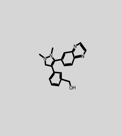 CN1CC(c2cccc(CO)c2)=C(c2ccc3nccnc3c2)N1C